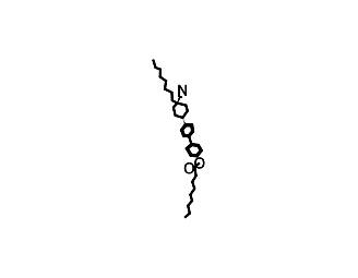 CCCCCCCCC(=O)Oc1ccc(-c2ccc([C@H]3CC[C@@](C#N)(CCCCCCCC)CC3)cc2)cc1